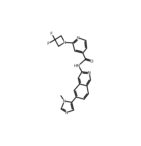 Cn1cncc1-c1ccc2cnc(NC(=O)c3ccnc(N4CC(F)(F)C4)c3)cc2c1